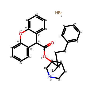 Br.O=C(OC1(CCc2ccccc2)CN2CCC1CC2)C1c2ccccc2Oc2ccccc21